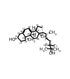 C[C@H](CCC(F)(F)C(C)(C)O)[C@H]1CC[C@H]2C3=CC=C4C[C@@H](O)CC[C@]4(C)[C@H]3CC[C@]12C